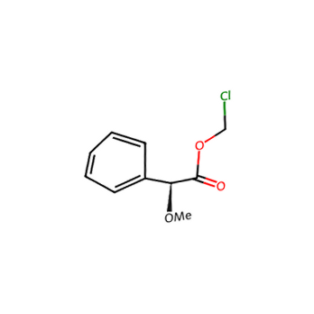 CO[C@H](C(=O)OCCl)c1ccccc1